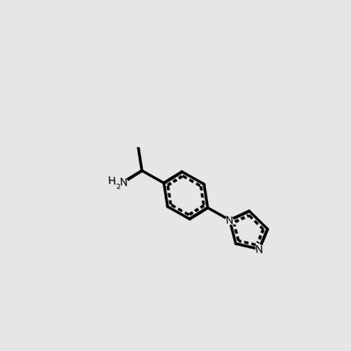 CC(N)c1ccc(-n2ccnc2)cc1